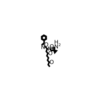 CCC(=O)CCCCCC(NC(=O)C1(C(N)=O)CC1)c1ncc(-c2ccccc2)o1